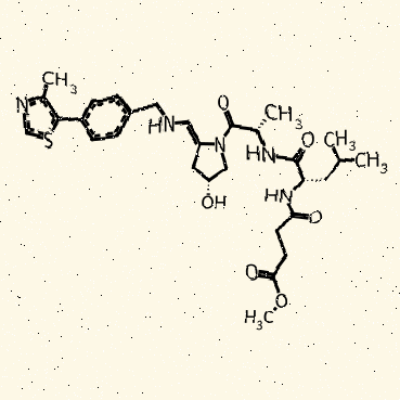 COC(=O)CCC(=O)N[C@@H](CC(C)C)C(=O)N[C@@H](C)C(=O)N1C[C@H](O)C/C1=C\NCc1ccc(-c2scnc2C)cc1